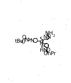 CCCS(=O)(=O)Nc1cccc(-c2nc(C3CCN(C4CN(C(=O)OC(C)(C)C)C4)CC3)sc2-c2ccnc(N)n2)c1F